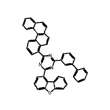 c1ccc(-c2cccc(-c3nc(-c4cccc5c4ccc4ccc6ccccc6c45)nc(-c4cccc5oc6ccccc6c45)n3)c2)cc1